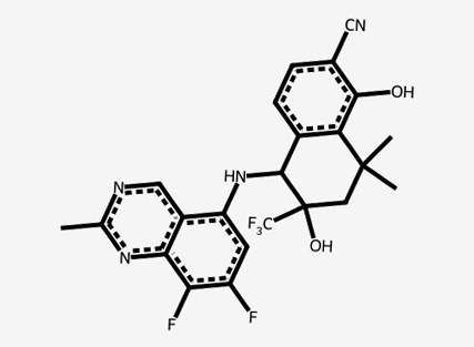 Cc1ncc2c(NC3c4ccc(C#N)c(O)c4C(C)(C)CC3(O)C(F)(F)F)cc(F)c(F)c2n1